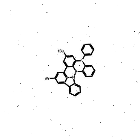 CC(C)c1cc2c3c(c1)c1ccccc1n3B1c3ccccc3N(c3ccccc3)c3cc(C(C)(C)C)cc-2c31